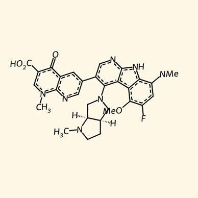 CNc1cc(F)c(OC)c2c1[nH]c1ncc(-c3cnc4c(c3)c(=O)c(C(=O)O)cn4C)c(N3C[C@H]4CCN(C)[C@H]4C3)c12